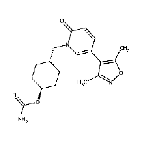 Cc1noc(C)c1-c1ccc(=O)n(C[C@H]2CC[C@H](OC(N)=O)CC2)c1